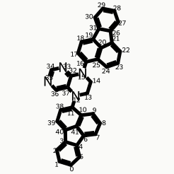 c1ccc2c(c1)-c1cccc3c(N4CCN(c5ccc6c7c(cccc57)-c5ccccc5-6)c5ncncc54)ccc-2c13